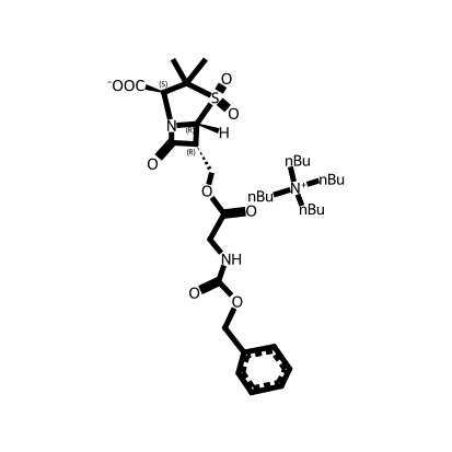 CC1(C)[C@H](C(=O)[O-])N2C(=O)[C@@H](COC(=O)CNC(=O)OCc3ccccc3)[C@H]2S1(=O)=O.CCCC[N+](CCCC)(CCCC)CCCC